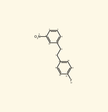 O=[N+]([O-])c1cccc(CCc2ccc(F)cc2)c1